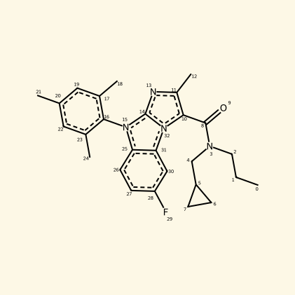 CCCN(CC1CC1)C(=O)c1c(C)nc2n(-c3c(C)cc(C)cc3C)c3ccc(F)cc3n12